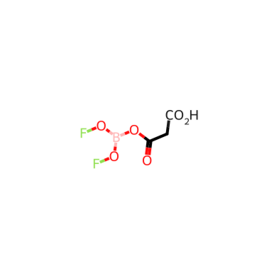 O=C(O)CC(=O)OB(OF)OF